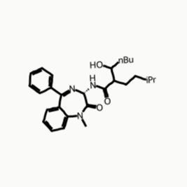 CCCCC(O)C(CCC(C)C)C(=O)N[C@H]1N=C(c2ccccc2)c2ccccc2N(C)C1=O